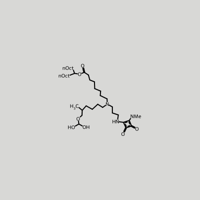 CCCCCCCCC(CCCCCCCC)OC(=O)CCCCCCCN(CCCCC(C)COC(O)O)CCCNc1c(NC)c(=O)c1=O